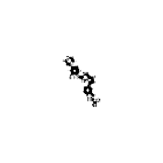 O=[SH](=O)NCc1cccc(-c2ccc3cnc(Nc4ccc(N5CCOCC5)cc4F)nn23)c1